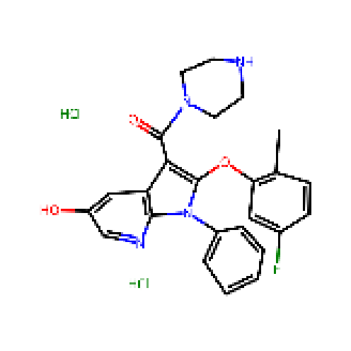 Cc1ccc(F)cc1Oc1c(C(=O)N2CCNCC2)c2cc(O)cnc2n1-c1ccccc1.Cl.Cl